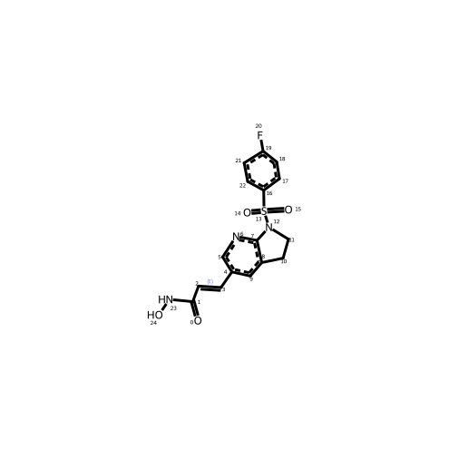 O=C(/C=C/c1cnc2c(c1)CCN2S(=O)(=O)c1ccc(F)cc1)NO